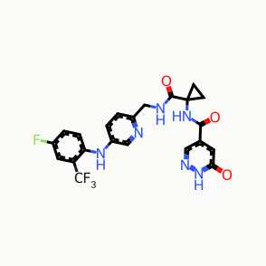 O=C(NC1(C(=O)NCc2ccc(Nc3ccc(F)cc3C(F)(F)F)cn2)CC1)c1cn[nH]c(=O)c1